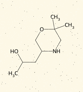 CC(O)CC1COC(C)(C)CN1